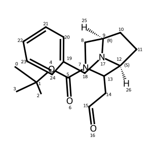 CC(C)(C)OC(=O)N1C[C@H]2CC[C@@H](C1CC=O)N2Cc1ccccc1